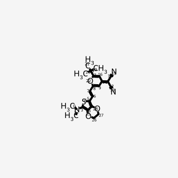 CN(C)c1sc(/C=C/C2=CC(=C(C#N)C#N)C=C(C(C)(C)C)O2)c2c1OCCO2